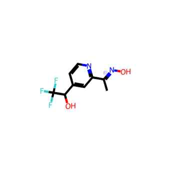 C/C(=N\O)c1cc(C(O)C(F)(F)F)ccn1